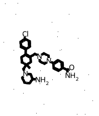 CC1(CN2CCCC(N)C2)CCC(c2ccc(Cl)cc2)=C(CN2CCN(c3ccc(C(N)=O)cc3)CC2)C1